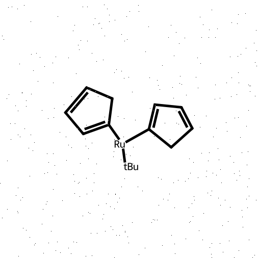 C[C](C)(C)[Ru]([C]1=CC=CC1)[C]1=CC=CC1